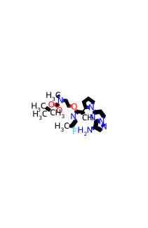 C=C(/C(=N\C=C(/C)F)OCCN(C)C(=O)OC(C)(C)C)[C@H]1CCCN1c1ccn2ncc(N)c2n1